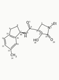 CCN1CC(C(=O)N[C@@H]2CCc3ccc(C)cc32)=C(O)C1=O